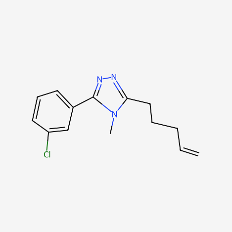 C=CCCCc1nnc(-c2cccc(Cl)c2)n1C